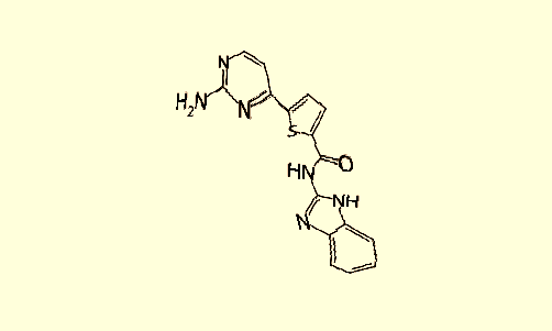 Nc1nccc(-c2ccc(C(=O)Nc3nc4ccccc4[nH]3)s2)n1